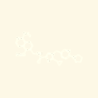 COc1c(CNC(=O)c2cn(Cc3ccc(N4CCCC4)nc3)c(C3CC3)n2)ccc2c(N)nccc12